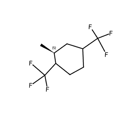 C[C@H]1CC(C(F)(F)F)CCC1C(F)(F)F